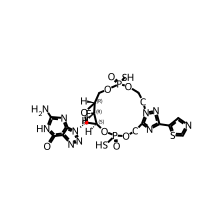 Nc1nc2c(nnn2[C@@H]2O[C@@H]3COP(=O)(S)OCCn4nc(-c5cncs5)nc4COP(=O)(S)O[C@@H]2[C@@H]3F)c(=O)[nH]1